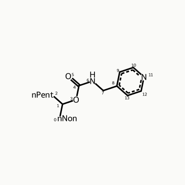 CCCCCCCCCC(CCCCC)OC(=O)NCc1ccncc1